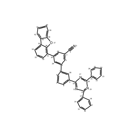 N#Cc1cc(-c2cccc(-c3nc(-c4ccccc4)nc(-c4ccccc4)n3)c2)cc(-c2cccc3c2oc2ccccc23)c1